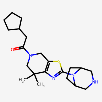 CC1(C)CN(C(=O)CC2CCCC2)Cc2sc(N3C4CCC3CNC4)nc21